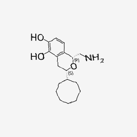 NC[C@@H]1O[C@H](C2CCCCCCC2)Cc2c1ccc(O)c2O